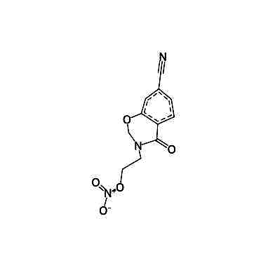 N#Cc1ccc2c(c1)OCN(CCO[N+](=O)[O-])C2=O